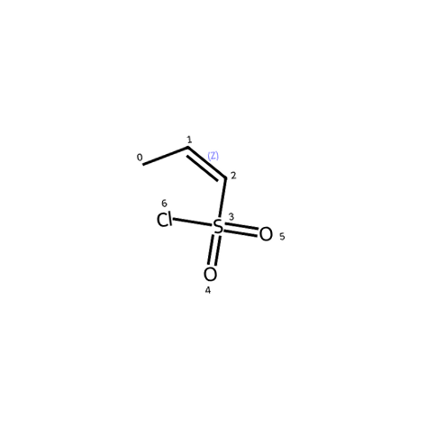 C/C=C\S(=O)(=O)Cl